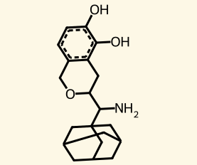 NC(C1Cc2c(ccc(O)c2O)CO1)C12CC3CC(CC(C3)C1)C2